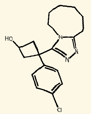 OC1CC(c2ccc(Cl)cc2)(c2nnc3n2CCCCCC3)C1